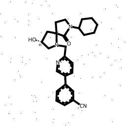 N#Cc1cccc(-c2ccc(CN3C[C@H](O)CC34CCN(C3CCCCC3)C4=O)nc2)c1